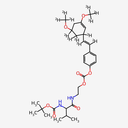 [2H]/C(=C(/[2H])C1([2H])C=C(OC([2H])([2H])[2H])CC([2H])(OC([2H])([2H])[2H])C1([2H])[2H])c1ccc(OC(=O)OCCNC(=O)C(NC(=O)OC(C)(C)C)C(C)C)cc1